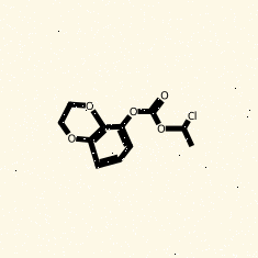 CC(Cl)OC(=O)Oc1cccc2c1OCCO2